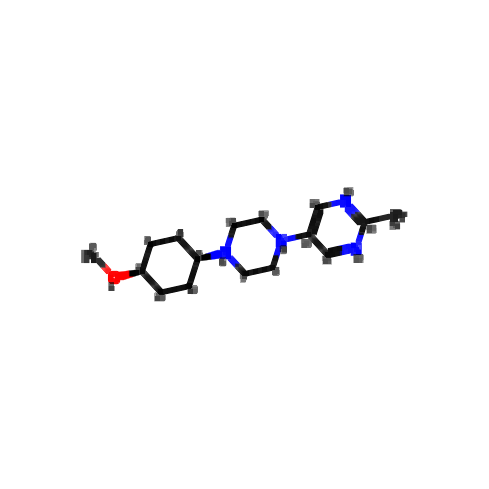 CC(C)O[C@H]1CC[C@@H](N2CCN(c3cnc(C(C)C)nc3)CC2)CC1